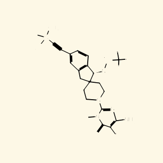 Cn1c(N2CCC3(CC2)Cc2cc(C#C[Si](C)(C)C)ccc2[C@H]3N[S@+]([O-])C(C)(C)C)nc(N)c(I)c1=O